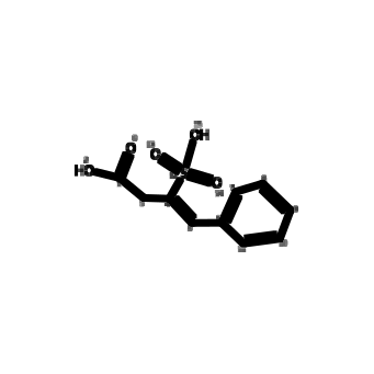 O=C(O)CC(=Cc1ccccc1)S(=O)(=O)O